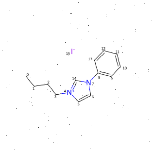 CCCC[n+]1ccn(-c2ccccc2)c1.[I-]